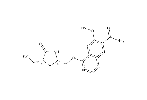 CC(C)Oc1cc2c(OC[C@@H]3C[C@H](CC(F)(F)F)C(=O)N3)nccc2cc1C(N)=O